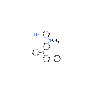 CN(c1ccc(N(c2ccccc2)c2cccc(-c3ccccc3)c2)cc1)c1cccc(C#N)c1